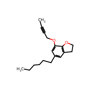 CC#CCOc1cc(CCCCCC)cc2c1OCC2